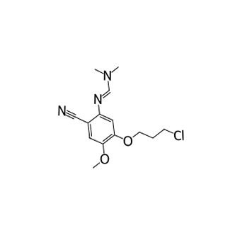 COc1cc(C#N)c(N=CN(C)C)cc1OCCCCl